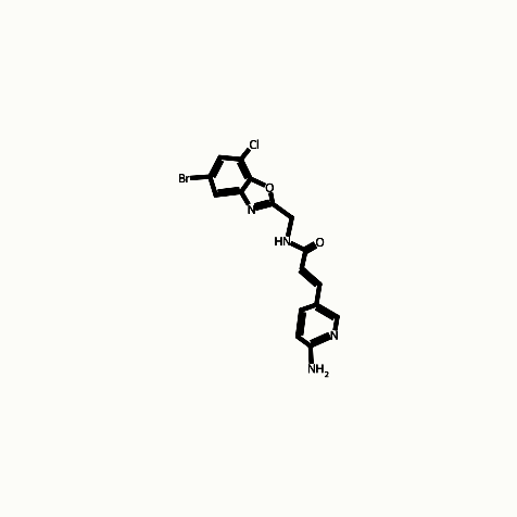 Nc1ccc(C=CC(=O)NCc2nc3cc(Br)cc(Cl)c3o2)cn1